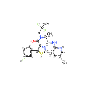 CCCC(F)(F)CN(C(=O)c1nc(C)sc1-c1cccc(F)c1)C(C)CNc1ccc(C(F)(F)F)cn1